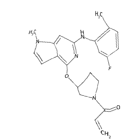 C=CC(=O)N1CCC(Oc2nc(Nc3cc(F)ccc3C)cc3c2ccn3C)C1